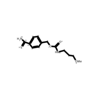 COCCCNC(=O)OCc1ccc(C(N)=S)cc1